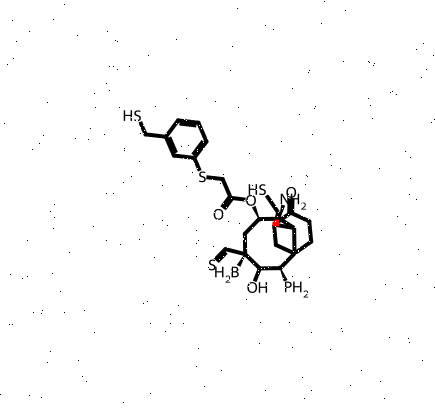 B[C@@]1(C=S)C[C@@H](OC(=O)CSc2cccc(CS)c2)[C@]2(N)C(S)CC34CC(CCC3=O)(C42)[C@@H](P)C1O